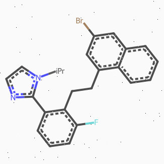 CC(C)n1ccnc1-c1cccc(F)c1CCc1cc(Br)cc2ccccc12